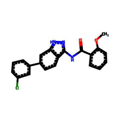 COc1ccccc1C(=O)Nc1n[nH]c2cc(-c3cccc(Cl)c3)ccc12